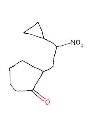 O=C1CCCCC1CC(C1CC1)[N+](=O)[O-]